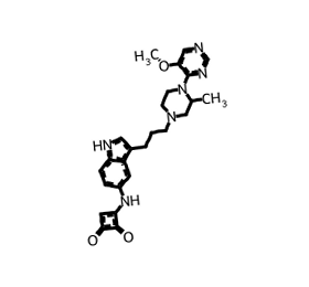 COc1cncnc1N1CCN(CCCc2c[nH]c3ccc(Nc4cc(=O)c4=O)cc23)CC1C